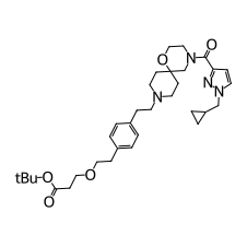 CC(C)(C)OC(=O)CCOCCc1ccc(CCN2CCC3(CC2)CN(C(=O)c2ccn(CC4CC4)n2)CCO3)cc1